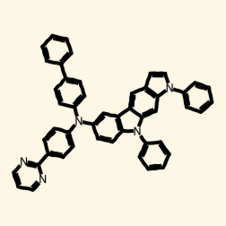 c1ccc(-c2ccc(N(c3ccc(-c4ncccn4)cc3)c3ccc4c(c3)c3cc5ccn(-c6ccccc6)c5cc3n4-c3ccccc3)cc2)cc1